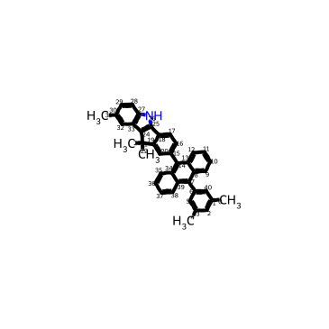 Cc1cc(C)cc(-c2c3ccccc3c(-c3ccc4c(c3)C(C)(C)c3c-4[nH]c4ccc(C)cc34)c3ccccc23)c1